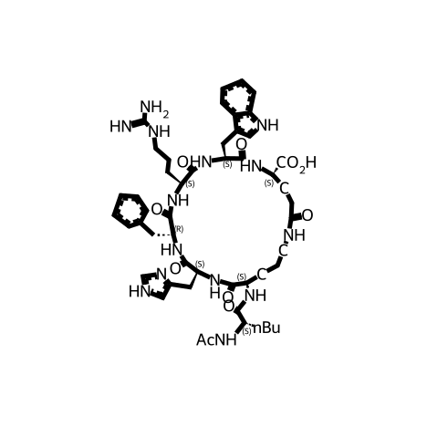 CCCC[C@H](NC(C)=O)C(=O)N[C@H]1CCCNC(=O)CC[C@@H](C(=O)O)NC(=O)[C@H](Cc2c[nH]c3ccccc23)NC(=O)[C@H](CCCNC(=N)N)NC(=O)[C@@H](Cc2ccccc2)NC(=O)[C@H](Cc2c[nH]cn2)NC1=O